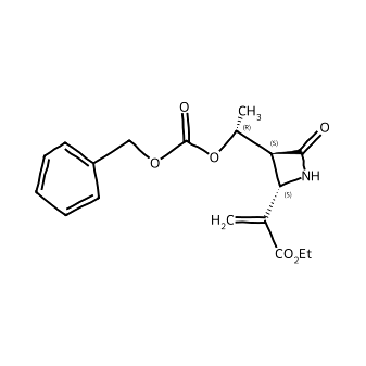 C=C(C(=O)OCC)[C@H]1NC(=O)[C@@H]1[C@@H](C)OC(=O)OCc1ccccc1